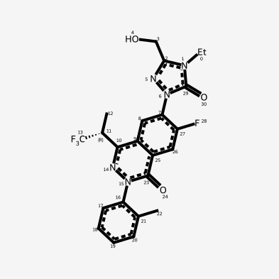 CCn1c(CO)nn(-c2cc3c([C@@H](C)C(F)(F)F)nn(-c4ccccc4C)c(=O)c3cc2F)c1=O